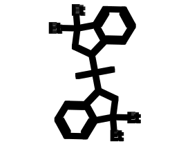 CCC1(CC)CC(C(C)(C)C2CC(CC)(CC)c3ccccc32)c2ccccc21